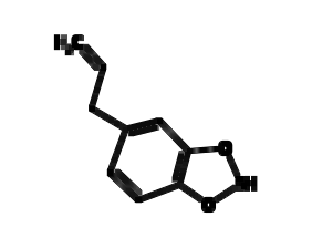 C=CCc1ccc2c(c1)OBO2